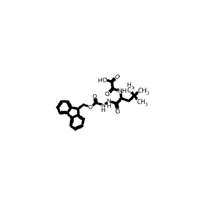 CC(C)(C)CC(NC(=O)C(=O)O)C(=O)NNC(=O)OCC1c2ccccc2-c2ccccc21